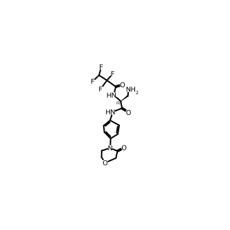 NC[C@H](NC(=O)C(F)(F)C(F)F)C(=O)Nc1ccc(N2CCOCC2=O)cc1